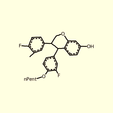 CCCCCOc1ccc(C2c3ccc(O)cc3OCC2c2ccc(F)c(C)c2)cc1F